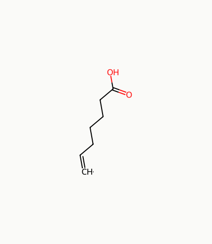 [CH]=CCCCCC(=O)O